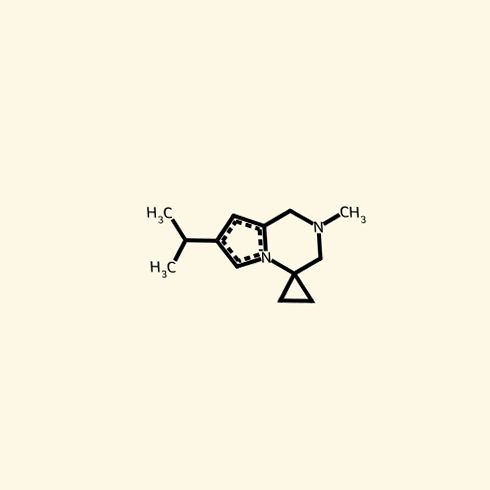 CC(C)c1cc2n(c1)C1(CC1)CN(C)C2